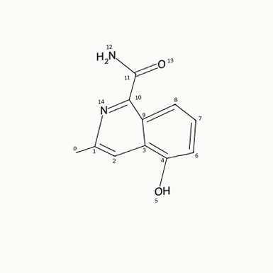 Cc1cc2c(O)cccc2c(C(N)=O)n1